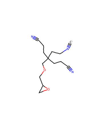 [C-]#[N+]CCC(CCC#N)(CCC#N)COCC1CO1